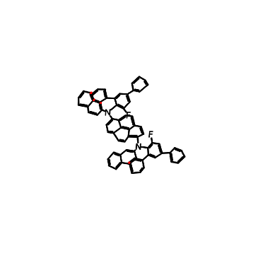 Fc1cc(-c2ccccc2)cc(-c2ccccc2)c1N(c1ccc2ccccc2c1)c1ccc2ccc3c(N(c4ccc5ccccc5c4)c4c(F)cc(-c5ccccc5)cc4-c4ccccc4)ccc4ccc1c2c43